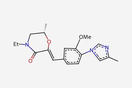 CCN1C[C@H](C)O/C(=C\c2ccc(-n3cnc(C)c3)c(OC)c2)C1=O